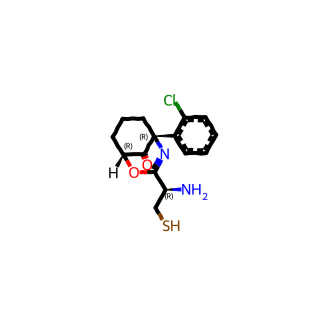 N[C@@H](CS)C1=N[C@@]2(c3ccccc3Cl)CCC[C@@H](O1)C2=O